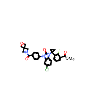 COC(=O)c1cccc(C2(n3c(=O)n(-c4ccc(C(=O)N5CC6(COC6)C5)cc4)c4cc(Cl)ccc43)CC2)c1F